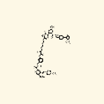 COc1cnc(C(=O)NCc2cccc(CC(=O)NCCCCCCC(=O)N[C@H](C(=O)N3C[C@H](O)C[C@H]3C(=O)NCc3ccc(-c4sccc4C)cc3)C(C)(C)C)c2)cc1/C=C/[C@H]1CC[C@H](C(F)(F)F)CC1